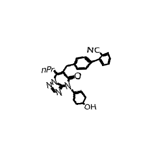 CCCc1c(Cc2ccc(-c3ccccc3C#N)cc2)c(=O)n(C2CCC(O)CC2)c2ncnn12